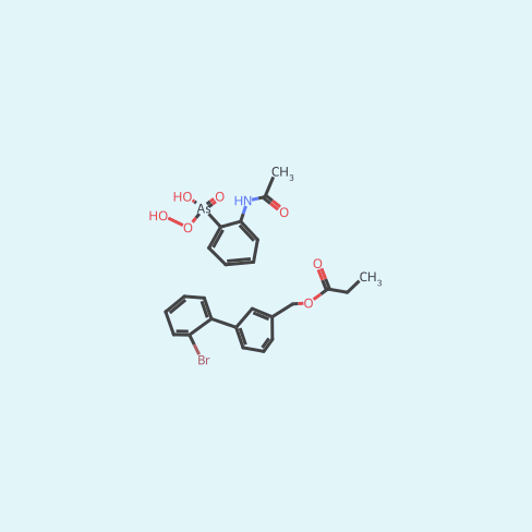 CC(=O)Nc1ccccc1[As](=O)(O)OO.CCC(=O)OCc1cccc(-c2ccccc2Br)c1